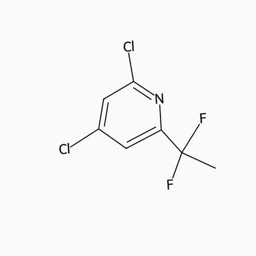 CC(F)(F)c1cc(Cl)cc(Cl)n1